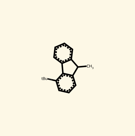 CC1c2ccccc2-c2c1cccc2C(C)(C)C